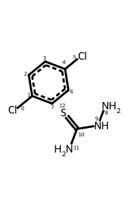 Clc1ccc(Cl)cc1.NNC(N)=S